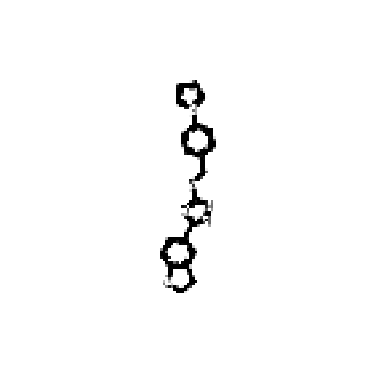 c1ccn(-c2ccc(CSc3nnc(-c4ccc5c(c4)CCO5)o3)cc2)c1